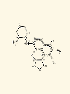 CC(=O)c1c(C)c2cnc(NC3CCOCC3O)nc2n(C2CCCC2C)c1=O